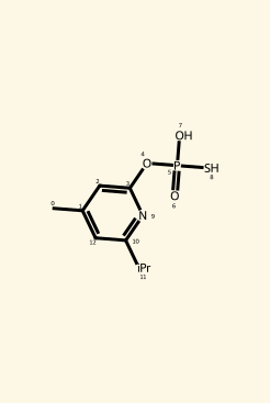 Cc1cc(OP(=O)(O)S)nc(C(C)C)c1